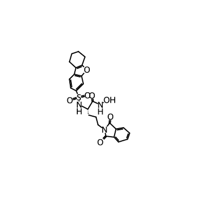 O=C(NO)[C@H](CCCN1C(=O)c2ccccc2C1=O)NS(=O)(=O)c1ccc2c3c(oc2c1)CCCC3